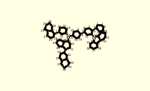 c1ccc(-c2ccc(-c3ccc(N(c4cccc(-c5cccc6ccccc56)c4)c4ccc(-c5ccc6ccccc6c5)c5ccccc45)cc3)cc2-n2c3ccccc3c3ccccc32)cc1